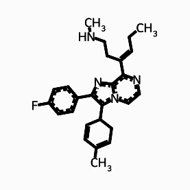 CC/C=C(\CCNC)c1nccn2c(C3C=CC(C)=CC3)c(-c3ccc(F)cc3)nc12